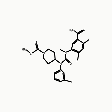 CN(C(=O)N(c1cccc(F)c1)C1CCN(C(=O)OC(C)(C)C)CC1)c1cc(C(N)=O)c(F)cc1F